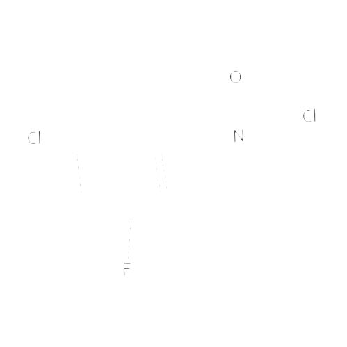 Fc1cc(Cl)cc(-c2coc(Cl)n2)c1